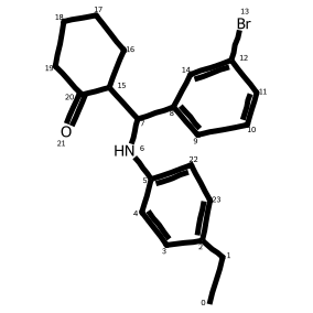 CCc1ccc(NC(c2cccc(Br)c2)C2CCCCC2=O)cc1